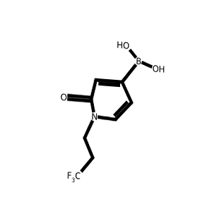 O=c1cc(B(O)O)ccn1CCC(F)(F)F